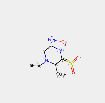 CCCCCN1CCNC(=S(=O)=O)C1C(=O)O.NO